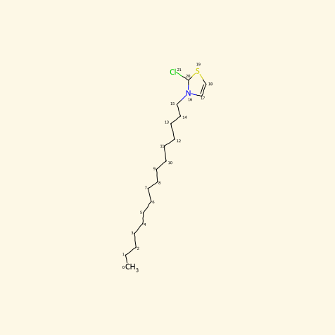 CCCCCCCCCCCCCCCCN1C=CSC1Cl